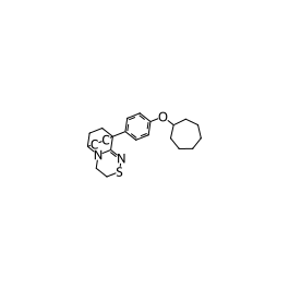 c1cc(C23CCC(CC2)N2CCSN=C23)ccc1OC1CCCCCC1